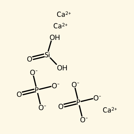 O=P([O-])([O-])[O-].O=P([O-])([O-])[O-].O=[Si](O)O.[Ca+2].[Ca+2].[Ca+2]